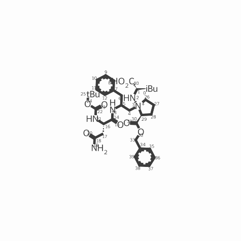 CC[C@H](C)[C@H](N[N+]1(CC(Cc2ccccc2)NC(=O)[C@H](CC(N)=O)NC(=O)OC(C)(C)C)CCC[C@H]1C(=O)OCc1ccccc1)C(=O)O